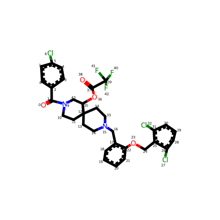 O=C(c1ccc(Cl)cc1)N1CCC2(CCN(Cc3ccccc3OCc3c(Cl)cccc3Cl)CC2)C(OC(=O)C(F)(F)F)C1